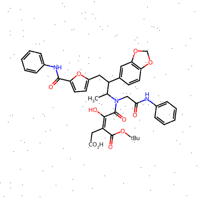 CC(C(Cc1ccc(C(=O)Nc2ccccc2)o1)c1ccc2c(c1)OCO2)N(CC(=O)Nc1ccccc1)C(=O)C(O)=C(CC(=O)O)C(=O)OC(C)(C)C